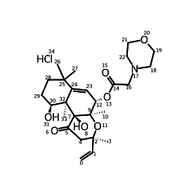 C=C[C@@]1(C)CC(=O)[C@@]2(O)[C@](C)(O1)[C@@H](OC(=O)CN1CCOCC1)C=C1C(C)(C)CC[C@H](O)[C@@]12C.Cl